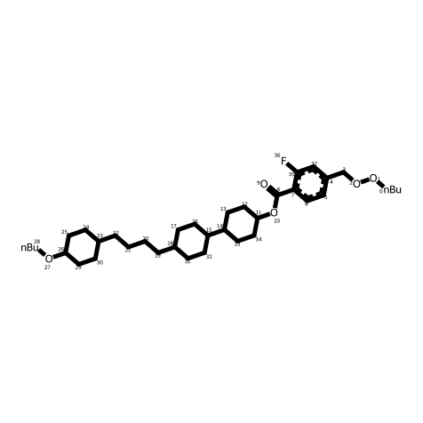 CCCCOOCc1ccc(C(=O)OC2CCC(C3CCC(CCCCC4CCC(OCCCC)CC4)CC3)CC2)c(F)c1